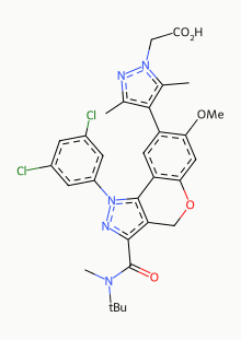 COc1cc2c(cc1-c1c(C)nn(CC(=O)O)c1C)-c1c(c(C(=O)N(C)C(C)(C)C)nn1-c1cc(Cl)cc(Cl)c1)CO2